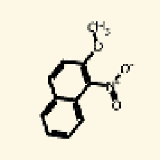 COc1ccc2ccccc2c1[N+](=O)[O-]